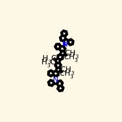 CC1(C)c2cc3c(cc2-c2cc4c(cc21)-c1c(cc(-n2c5ccccc5c5c6ccccc6ccc52)c2ccccc12)C4(C)C)C(C)(C)c1cc(-n2c4ccccc4c4c5ccccc5ccc42)c2ccccc2c1-3